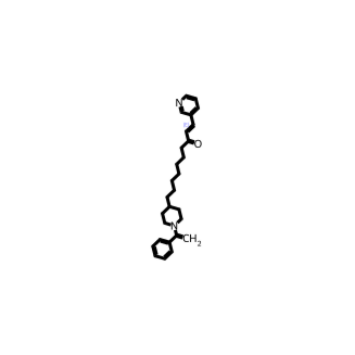 C=C(c1ccccc1)N1CCC(CCCCCCCC(=O)/C=C/c2cccnc2)CC1